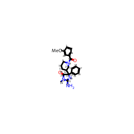 COc1cccc(C(=O)N2CCCC(C3(c4ccccc4)N=C(N)N(C)C3=O)C2)c1